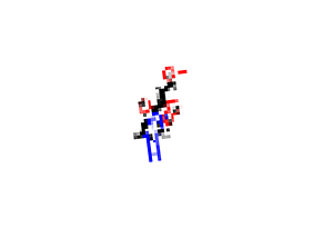 O=C(CCO)C(=O)[N+]1([O-])CCNC1